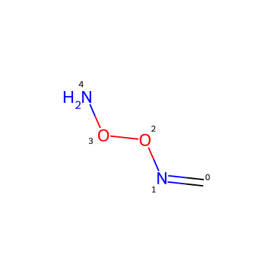 C=NOON